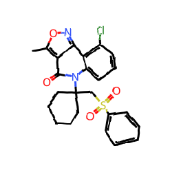 Cc1onc2c1c(=O)n(C1(CS(=O)(=O)c3ccccc3)CCCCC1)c1cccc(Cl)c21